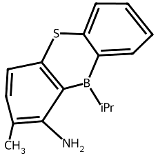 Cc1ccc2c(c1N)B(C(C)C)c1ccccc1S2